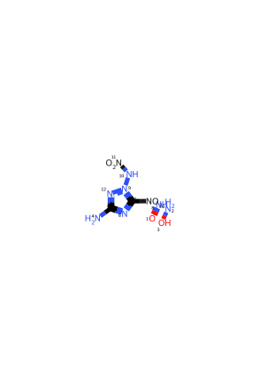 N=O.NO.Nc1nc([N+](=O)[O-])n(N[N+](=O)[O-])n1